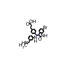 CNCc1cccc(N/C(=C2\C(=O)Nc3cc(Br)ccc32)c2ccc(CCC(=O)O)cc2)c1